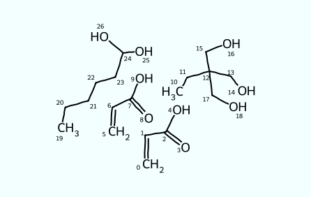 C=CC(=O)O.C=CC(=O)O.CCC(CO)(CO)CO.CCCCCC(O)O